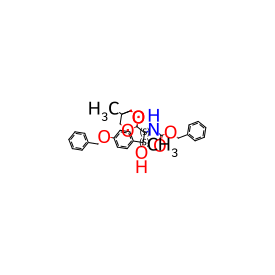 CC12COC([C@@H](NC(=O)OCc3ccccc3)[C@@](C)(O)c3ccc(OCc4ccccc4)cc3)(OC1)OC2